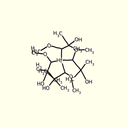 CO[CH](C(C)(C)O)[Hf]([CH](OC)C(C)(C)O)([CH](OC)C(C)(C)O)[CH](OC)C(C)(C)O